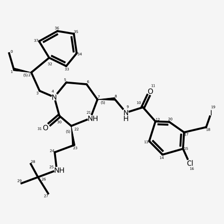 CC[C@H](CN1CC[C@@H](CNC(=O)c2ccc(Cl)c(CI)c2)N[C@@H](CCNC(C)(C)C)C1=O)c1ccccc1